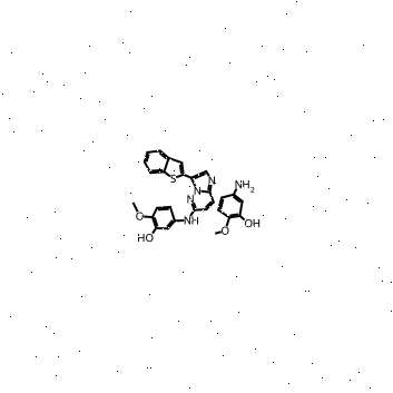 COc1ccc(N)cc1O.COc1ccc(Nc2ccc3ncc(-c4cc5ccccc5s4)n3n2)cc1O